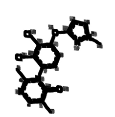 Cc1cnc(C)n(-c2ccc(Oc3ccn(C)n3)c(Cl)c2Cl)c1=O